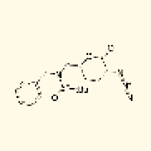 CC(C)(C)[S@@+]([O-])N(Cc1ccccc1)C[C@@H]1CC[C@@H](N=[N+]=[N-])C(=O)O1